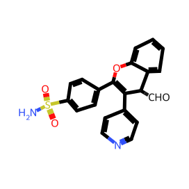 NS(=O)(=O)c1ccc(C2=C(c3ccncc3)C(C=O)c3ccccc3O2)cc1